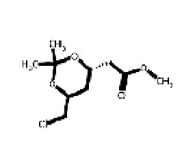 COC(=O)C[C@@H]1CC(CCl)OC(C)(C)O1